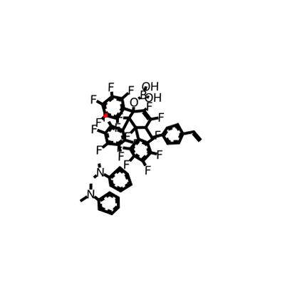 C=Cc1ccc(CC2C(F)=C(F)C(OB(O)O)(c3c(F)c(F)c(F)c(F)c3F)C(F)(c3c(F)c(F)c(F)c(F)c3F)C2(F)c2c(F)c(F)c(F)c(F)c2F)cc1.CN(C)c1ccccc1.CN(C)c1ccccc1